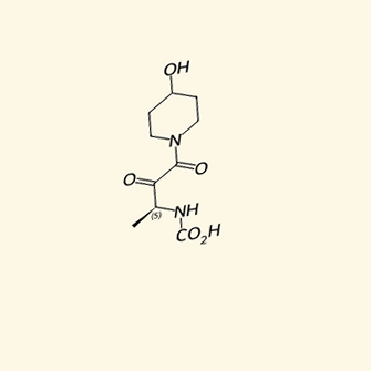 C[C@H](NC(=O)O)C(=O)C(=O)N1CCC(O)CC1